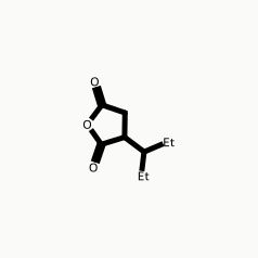 CCC(CC)C1CC(=O)OC1=O